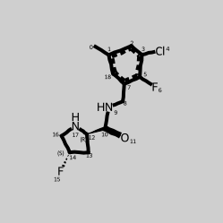 Cc1cc(Cl)c(F)c(CNC(=O)[C@H]2C[C@H](F)CN2)c1